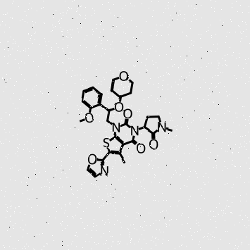 COc1ccccc1C(Cn1c(=O)n(C2CCN(C)C2=O)c(=O)c2c(C)c(-c3ncco3)sc21)OC1CCOCC1